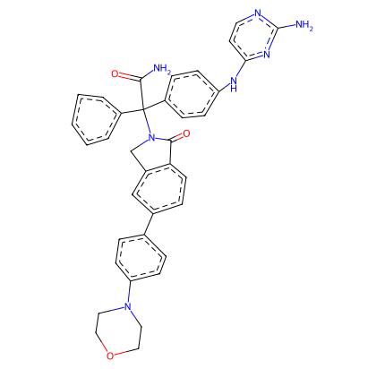 NC(=O)C(c1ccccc1)(c1ccc(Nc2ccnc(N)n2)cc1)N1Cc2cc(-c3ccc(N4CCOCC4)cc3)ccc2C1=O